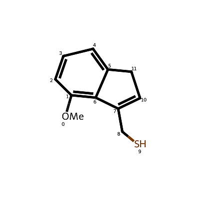 COc1cccc2c1C(CS)=CC2